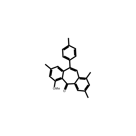 COc1cc(C)cc2c(-c3ccc(C)cc3)cc3c(C)cc(C)cc3c(=O)c12